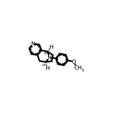 COc1ccc(N2[C@H]3CC[C@@H]2c2cnccc2C3)cc1